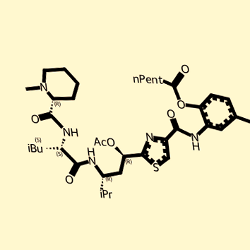 CCCCCC(=O)Oc1ccc(C)cc1NC(=O)c1csc([C@@H](C[C@@H](NC(=O)[C@@H](NC(=O)[C@H]2CCCCN2C)[C@@H](C)CC)C(C)C)OC(C)=O)n1